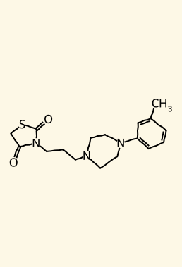 Cc1cccc(N2CCN(CCCN3C(=O)CSC3=O)CC2)c1